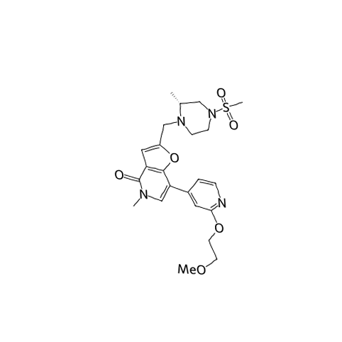 COCCOc1cc(-c2cn(C)c(=O)c3cc(CN4CCN(S(C)(=O)=O)C[C@H]4C)oc23)ccn1